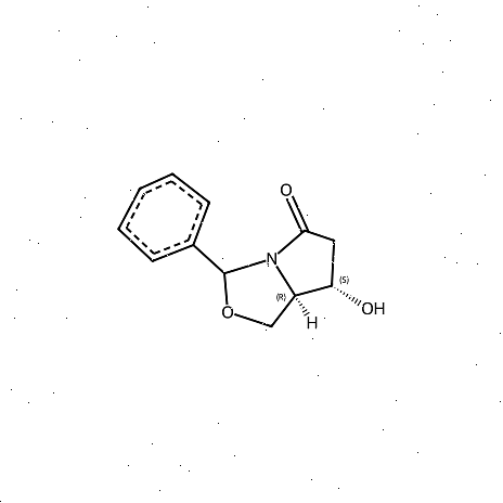 O=C1C[C@H](O)[C@H]2COC(c3ccccc3)N12